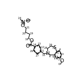 COc1ccc2c(n1)CN(Cc1ccc(C(=O)OCCCCO[N+](C)=O)cc1)CCS2